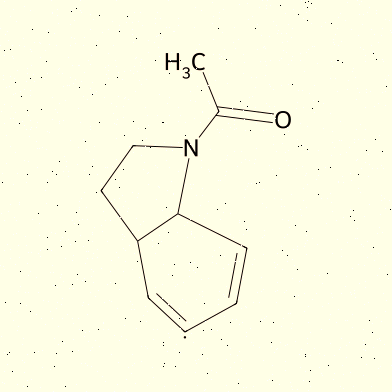 CC(=O)N1CCC2C=[C]C=CC21